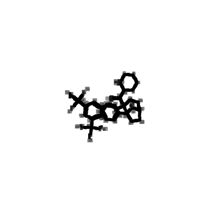 O=C(C1CCCCN1)C1(OCc2cc(C(F)(F)F)cc(C(F)(F)F)c2)CCC2CCC1(c1ccccc1)N2